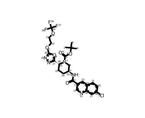 CC(C)(C)OC(=O)N1C[C@@H](NC(=O)c2cnc3cc(Cl)ccc3c2)CC[C@@H]1c1nnc(OCCOC(F)(F)F)o1